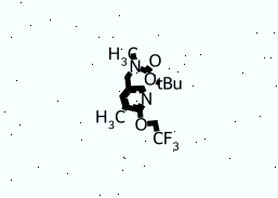 Cc1cc(CN(C)C(=O)OC(C)(C)C)cnc1OCC(F)(F)F